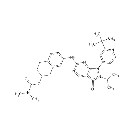 CC(C)n1c(=O)c2cnc(Nc3ccc4c(c3)CC(OC(=O)N(C)C)CC4)nc2n1-c1ccnc(C(C)(C)C)c1